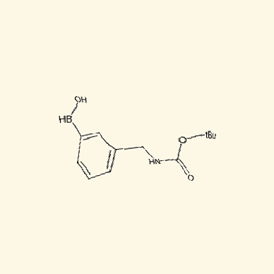 CC(C)(C)OC(=O)NCc1cccc(BO)c1